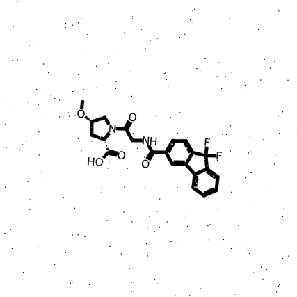 CO[C@@H]1C[C@@H](C(=O)O)N(C(=O)CNC(=O)c2ccc3c(c2)-c2ccccc2C3(F)F)C1